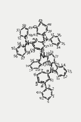 c1ccc(-c2cccc(-n3c4ccccc4c4ccc5c(c6ccccc6n5-c5cc(N(c6ccccc6)c6ccccc6)cc(N(c6ccccc6)c6ccccc6)c5)c43)c2)cc1